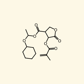 C=C(C)C(=O)OC1C(=O)OCC1C(=O)OC(C)OC1CCCCC1